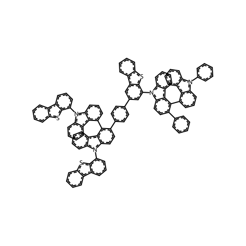 c1ccc(-c2ccc3c(c2-c2cccc4c2c2ccccc2n4-c2ccccc2)c2ccccc2n3-c2cc(-c3ccc(-c4ccc5c(c4-c4cccc6c4c4ccccc4n6-c4cccc6c4sc4ccccc46)c4ccccc4n5-c4cccc5c4sc4ccccc45)cc3)cc3c2sc2ccccc23)cc1